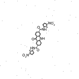 O=C(Nc1ccc([N+](=O)[O-])s1)c1ccc2c(=O)c3cc(C(=O)Nc4ccc([N+](=O)[O-])s4)ccc3[nH]c2c1